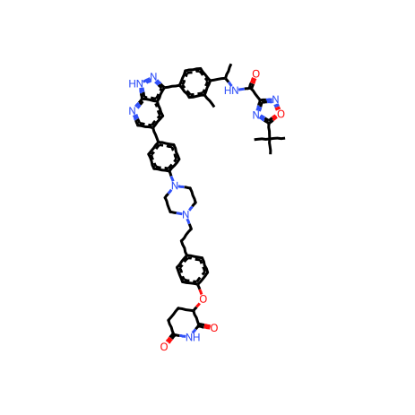 Cc1cc(-c2n[nH]c3ncc(-c4ccc(N5CCN(CCc6ccc(OC7CCC(=O)NC7=O)cc6)CC5)cc4)cc23)ccc1C(C)NC(=O)c1noc(C(C)(C)C)n1